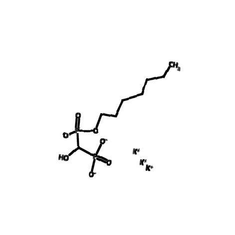 CCCCCCCOP(=O)([O-])C(O)P(=O)([O-])[O-].[K+].[K+].[K+]